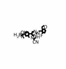 BC(O)(c1ccc(-c2cnc(NCc3c(F)ccc4c3CCO4)n3cc(C#N)nc23)c(C)c1)N(C)C